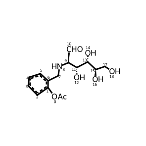 CC(=O)Oc1ccccc1CN[C@@H](C=O)[C@@H](O)[C@H](O)[C@H](O)CO